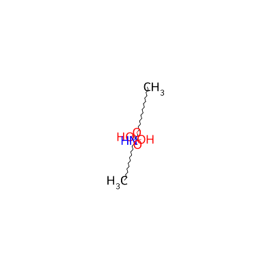 CCCCCCCCCCCCCCCCOCC(CO)(CO)NC(=O)CCCCCCCCCCCCC